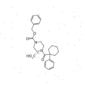 O=C(O)[C@@H]1CN(C(=O)OCc2ccccc2)CCN1C(=O)C1(c2ccccc2)CCCCC1